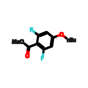 CCCCOc1cc(F)c(C(=O)OC)c(F)c1